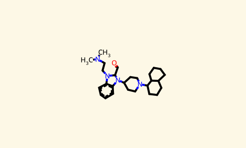 CN(C)CCN1c2ccccc2N(C2CCN(C3CCCC4CCCCC43)CC2)C1C=O